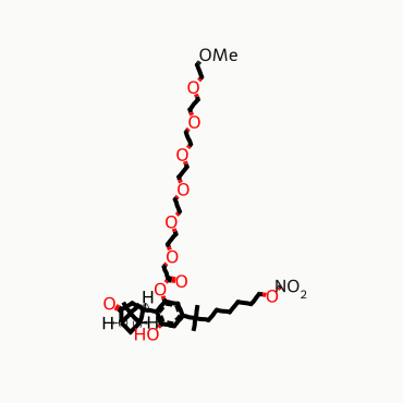 COCCOCCOCCOCCOCCOCCOCC(=O)Oc1cc(C(C)(C)CCCCCCO[N+](=O)[O-])cc(O)c1[C@@H]1CC(=O)[C@@H]2C[C@@H]1C2(C)C